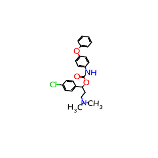 CN(C)CCC(OC(=O)Nc1ccc(Oc2ccccc2)cc1)c1ccc(Cl)cc1